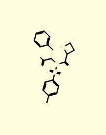 Cc1ccc(S(=O)(=O)N(C(=O)C2CCN2)[C@@H](Cc2ccccc2)C(=O)O)cc1